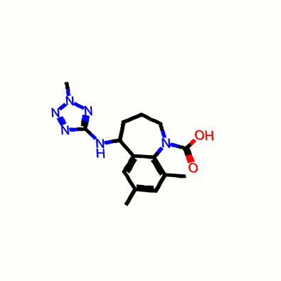 Cc1cc(C)c2c(c1)C(Nc1nnn(C)n1)CCCN2C(=O)O